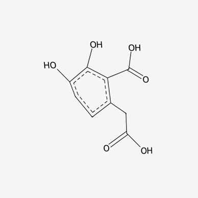 O=C(O)Cc1ccc(O)c(O)c1C(=O)O